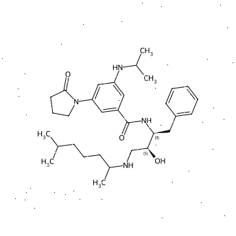 CC(C)CCCC(C)NC[C@H](O)[C@H](Cc1ccccc1)NC(=O)c1cc(NC(C)C)cc(N2CCCC2=O)c1